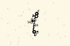 COc1ccc(CCCNCC[C@@H](OCC2CCc3cc(F)ccc3[C@@H]2C(C)C)C(=O)O)cc1OC